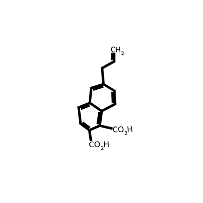 C=CCc1ccc2c(C(=O)O)c(C(=O)O)ccc2c1